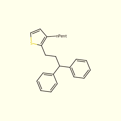 CCCCCc1ccsc1CCC(c1ccccc1)c1ccccc1